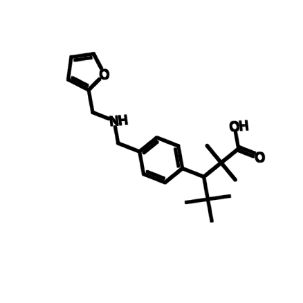 CC(C)(C)C(c1ccc(CNCc2ccco2)cc1)C(C)(C)C(=O)O